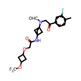 Cc1ccc(C(=O)CN(C=O)C23CC(NC(=O)COC4CC(OC(F)(F)F)C4)(C2)C3)cc1F